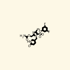 CC(C)c1nc(COC(N)=O)n(Cc2ccc(=O)[nH]c2)c1S(=O)(=O)Oc1cc(F)cc(F)c1